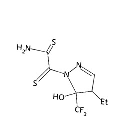 [CH2]CC1C=NN(C(=S)C(N)=S)C1(O)C(F)(F)F